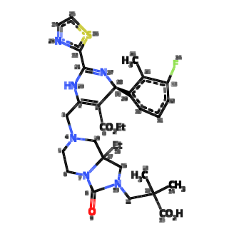 CCOC(=O)C1=C(CN2CCN3C(=O)N(CC(C)(C)C(=O)O)CC3(CC)C2)NC(c2nccs2)=N[C@H]1c1cccc(F)c1C